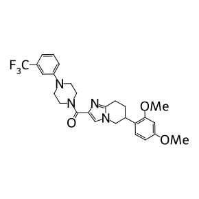 COc1ccc(C2CCc3nc(C(=O)N4CCN(c5cccc(C(F)(F)F)c5)CC4)cn3C2)c(OC)c1